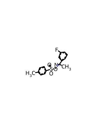 C/C(=N\OS(=O)(=O)c1ccc(C)cc1)c1cccc(F)c1